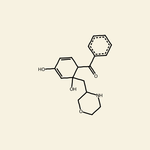 O=C(c1ccccc1)C1C=CC(O)=CC1(O)CC1COCCN1